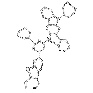 c1ccc(-c2nc(-c3ccc4c(c3)oc3ccccc34)cc(-n3c4ccccc4c4cc5c(cc43)c3ccccc3n5-c3ccccc3)n2)cc1